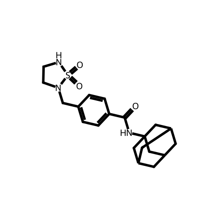 O=C(NC12CC3CC(CC(C3)C1)C2)c1ccc(CN2CCNS2(=O)=O)cc1